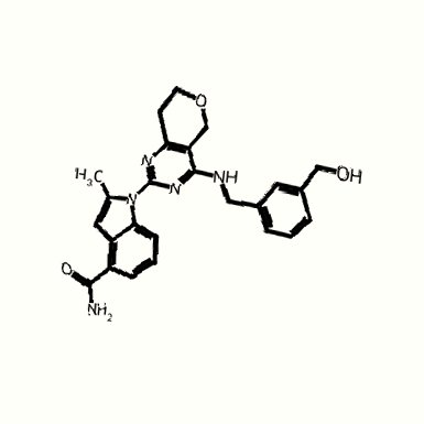 Cc1cc2c(C(N)=O)cccc2n1-c1nc2c(c(NCc3cccc(CO)c3)n1)COCC2